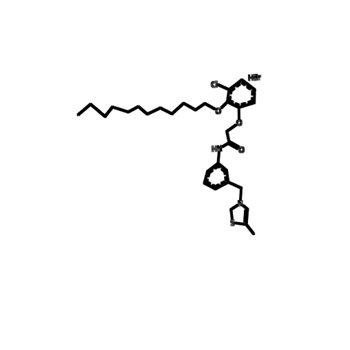 Br.CCCCCCCCCCCCOc1c(Cl)cccc1OCC(=O)Nc1cccc(CN2C=C(C)SC2)c1